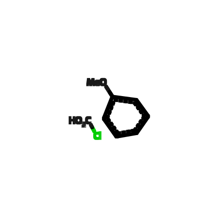 COc1ccccc1.O=C(O)Cl